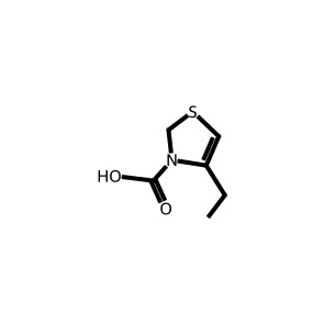 CCC1=CSCN1C(=O)O